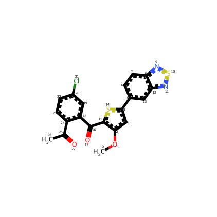 COc1cc(-c2ccc3nsnc3c2)sc1C(=O)c1cc(Cl)ccc1C(C)=O